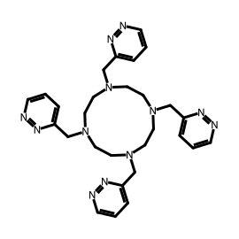 c1cnnc(CN2CCN(Cc3cccnn3)CCN(Cc3cccnn3)CCN(Cc3cccnn3)CC2)c1